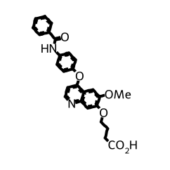 COc1cc2c(Oc3ccc(NC(=O)c4ccccc4)cc3)ccnc2cc1OCCCC(=O)O